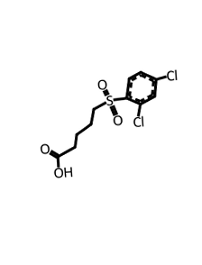 O=C(O)CCCCS(=O)(=O)c1ccc(Cl)cc1Cl